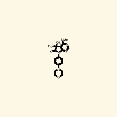 CNc1ncnc2c1C(C)(C)C(=O)N2c1ccc(N2CCOCC2)cc1